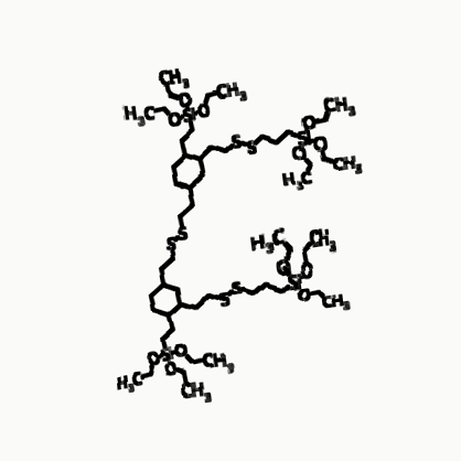 CCO[Si](CCCSSCCC1CC(CCSSCCC2CCC(CC[Si](OCC)(OCC)OCC)C(CCSSCCC[Si](OCC)(OCC)OCC)C2)CCC1CC[Si](OCC)(OCC)OCC)(OCC)OCC